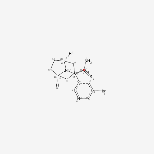 NC(=S)C1(c2cncc(Br)c2)C[C@H]2CC[C@@H](C1)N2CC(F)(F)F